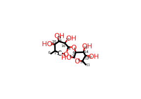 CC1COC(OC2C(O)OC(C)C(O)C2O)C(O)C(O)C1O